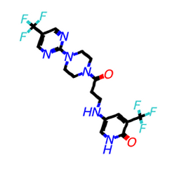 O=C(CCNc1c[nH]c(=O)c(C(F)(F)F)c1)N1CCN(c2ncc(C(F)(F)F)cn2)CC1